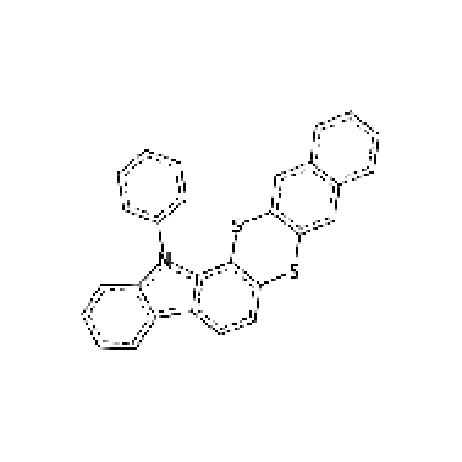 c1ccc(-n2c3ccccc3c3ccc4c(c32)Sc2cc3ccccc3cc2S4)cc1